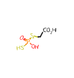 O=C(O)CSP(=O)(O)S